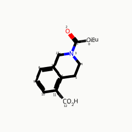 CC(C)COC(=O)N1CCc2c(cccc2C(=O)O)C1